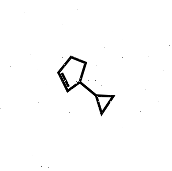 C1=C[C](C2CC2)CC1